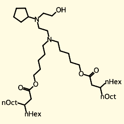 CCCCCCCCC(CCCCCC)CC(=O)OCCCCCN(CCCCCOC(=O)CC(CCCCCC)CCCCCCCC)CCN(CCO)C1CCCC1